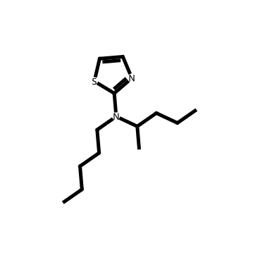 CCCCCN(c1nccs1)C(C)CCC